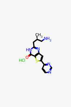 C[C@@H](CN)Cc1nc2cc(-c3ccncn3)sc2c(=O)[nH]1.Cl